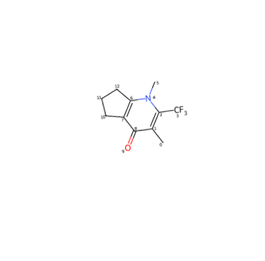 Cc1c(C(F)(F)F)n(C)c2c(c1=O)CCC2